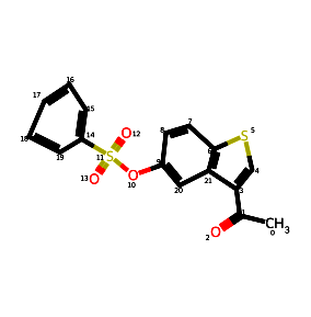 CC(=O)c1csc2ccc(OS(=O)(=O)c3ccccc3)cc12